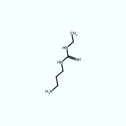 CCNC(=N)NCCCN